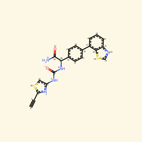 C#Cc1nc(NC(=O)N[C@@H](C(N)=O)c2ccc(-c3cccc4ncsc34)cc2)cs1